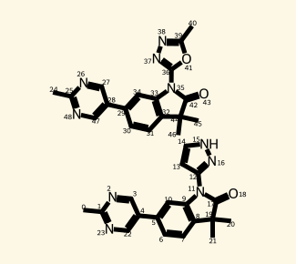 Cc1ncc(-c2ccc3c(c2)N(c2cc[nH]n2)C(=O)C3(C)C)cn1.Cc1ncc(-c2ccc3c(c2)N(c2nnc(C)o2)C(=O)C3(C)C)cn1